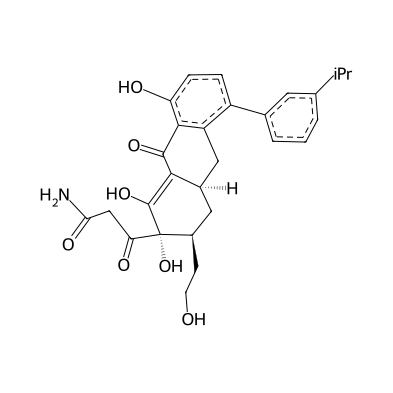 CC(C)c1cccc(-c2ccc(O)c3c2C[C@H]2C[C@@H](CCO)[C@@](O)(C(=O)CC(N)=O)C(O)=C2C3=O)c1